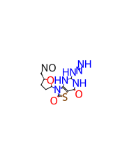 N=NNC1NC(=O)c2sc(=O)n([C@H]3CC[C@@H](CN=O)O3)c2N1